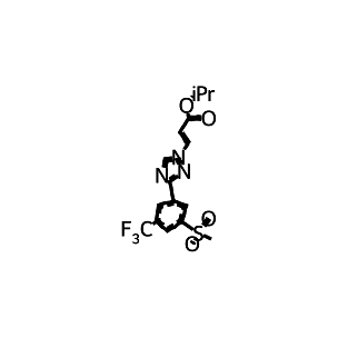 CC(C)OC(=O)/C=C/n1cnc(-c2cc(C(F)(F)F)cc(S(C)(=O)=O)c2)n1